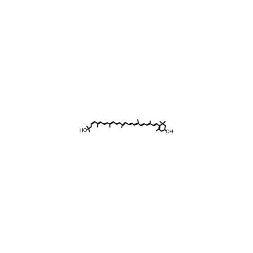 CC1=C(/C=C/C(C)=C/C=C/C(C)=C/C=C/C=C(C)/C=C/C=C(C)/C=C/C=C(C)/C=C\CC(C)(C)O)C(C)(C)CC(O)C1